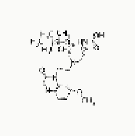 COc1ccc2ncc(=O)n(CCN3CC[C@H](NC(=O)O)[C@@H](O[Si](C)(C)C(C)(C)C)C3)c2c1